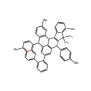 CC(C)(C)c1ccc(N2C3=C(B4c5cc(C(C)(C)C)ccc5N(c5ccc(C(C)(C)C)cc5)c5cc(-c6ccccc6-c6ccccc6)cc2c54)c2cccc(C(C)(C)C)c2C3(C)C)cc1